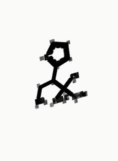 CCOC(=O)C(C#N)(NC(C)=O)C(C[N+](=O)[O-])c1cccs1